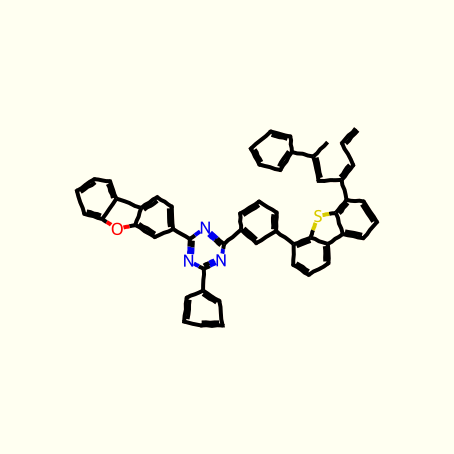 C=C/C=C(\C=C(/C)c1ccccc1)c1cccc2c1sc1c(-c3cccc(-c4nc(-c5ccccc5)nc(-c5ccc6c(c5)oc5ccccc56)n4)c3)cccc12